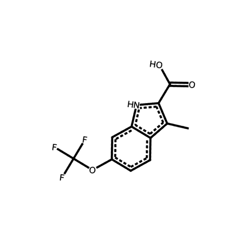 Cc1c(C(=O)O)[nH]c2cc(OC(F)(F)F)ccc12